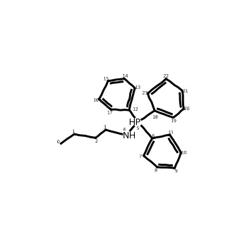 CCCCN[PH](c1ccccc1)(c1ccccc1)c1ccccc1